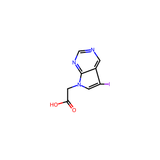 O=C(O)Cn1cc(I)c2cncnc21